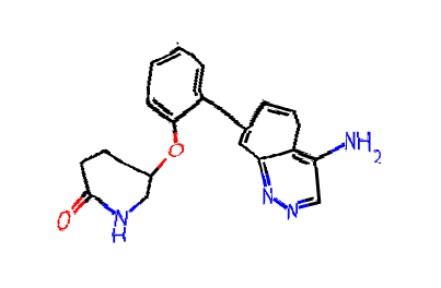 Nc1cnnc2cc(-c3c[c]ccc3OC3CCC(=O)NC3)ccc12